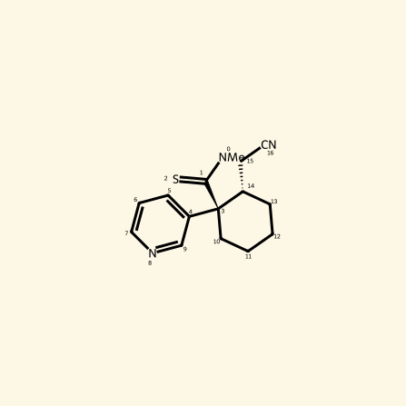 CNC(=S)[C@]1(c2cccnc2)CCCC[C@H]1CC#N